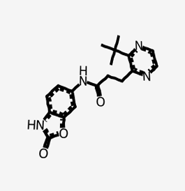 CC(C)(C)c1nccnc1CCC(=O)Nc1ccc2[nH]c(=O)oc2c1